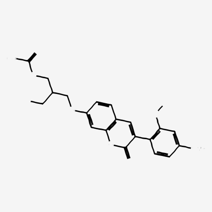 COc1ccc(-c2cc3ccc(OCC(COC(=O)C(C)(C)C)CC(F)(F)F)cc3oc2=O)c(OC(F)(F)F)c1